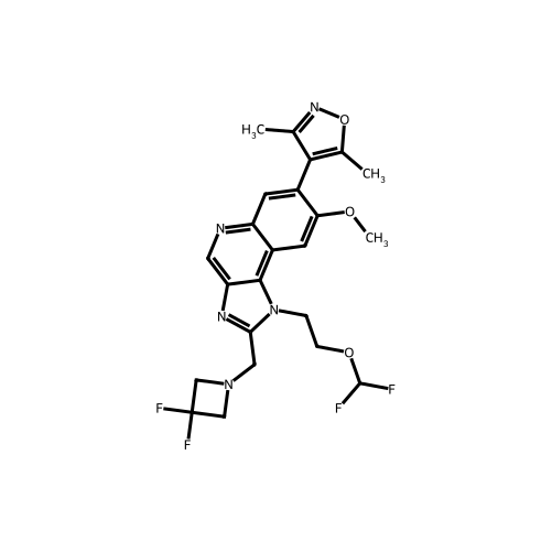 COc1cc2c(cc1-c1c(C)noc1C)ncc1nc(CN3CC(F)(F)C3)n(CCOC(F)F)c12